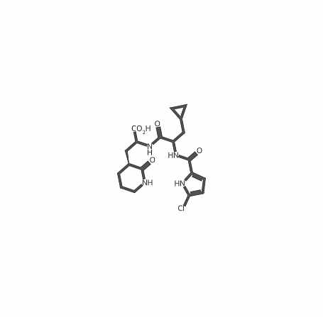 O=C(NC(CC1CC1)C(=O)NC(C[C@@H]1CCCNC1=O)C(=O)O)c1ccc(Cl)[nH]1